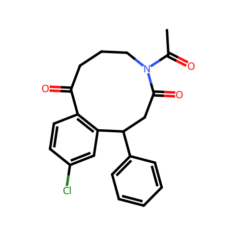 CC(=O)N1CCCC(=O)c2ccc(Cl)cc2C(c2ccccc2)CC1=O